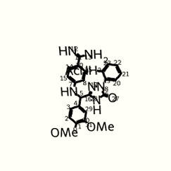 COc1ccc(C(Nc2ccc(C(=N)N)cc2)c2nn(-c3ccccc3NC(C)=O)c(=O)[nH]2)cc1OC